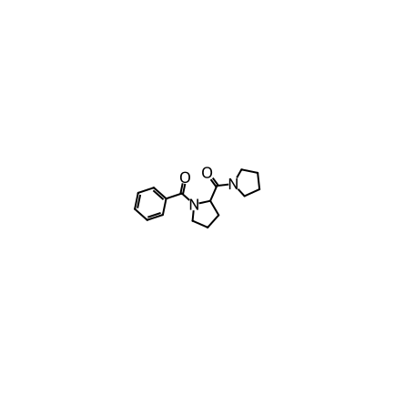 O=C(C1CCCN1C(=O)c1ccccc1)N1CCCC1